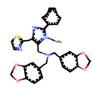 CCCCn1c(-c2ccccc2)nc(-c2nccs2)c1CN(Cc1ccc2c(c1)OCO2)Cc1ccc2c(c1)OCO2